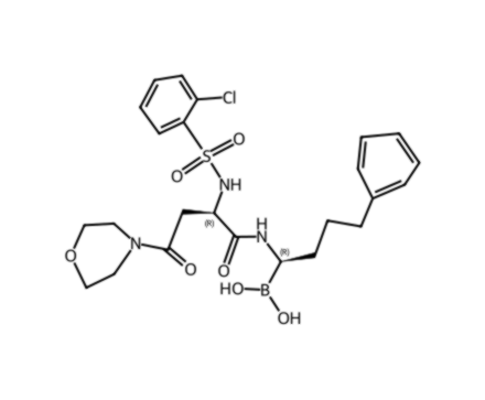 O=C(N[C@@H](CCCc1ccccc1)B(O)O)[C@@H](CC(=O)N1CCOCC1)NS(=O)(=O)c1ccccc1Cl